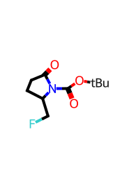 CC(C)(C)OC(=O)N1C(=O)CCC1CF